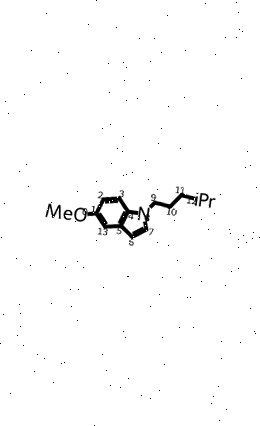 COc1ccc2c(ccn2CCCC(C)C)c1